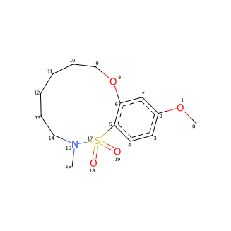 COc1ccc2c(c1)OCCCCCCN(C)S2(=O)=O